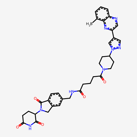 Bc1cccc2ncc(-c3cnn(C4CCN(C(=O)CCCC(=O)NCc5ccc6c(c5)CN(C5CCC(=O)NC5=O)C6=O)CC4)c3)nc12